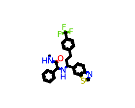 CNC(=O)C(NC(CCc1ccc(C(F)(F)F)cc1)c1ccc2ncsc2c1)c1ccccc1